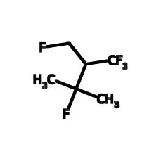 CC(C)(F)C(CF)C(F)(F)F